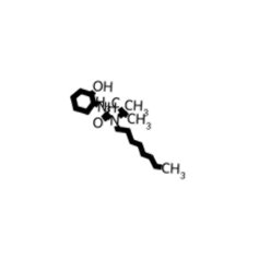 CCCCCCCCN(C(=O)NC1CCCCC1O)C(C)(C)C